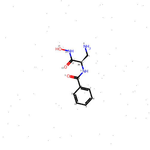 NC[C@@H](NC(=O)c1ccccc1)C(=O)NO